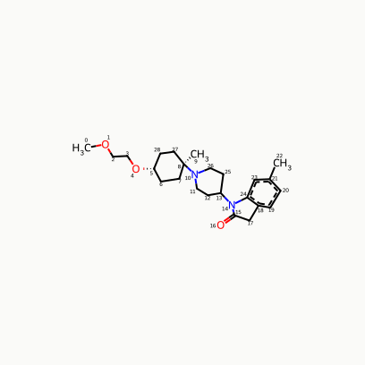 COCCO[C@H]1CC[C@](C)(N2CCC(N3C(=O)Cc4ccc(C)cc43)CC2)CC1